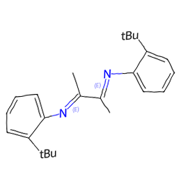 CC(=N\c1ccccc1C(C)(C)C)/C(C)=N/c1ccccc1C(C)(C)C